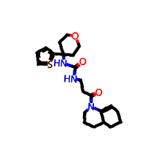 O=C(NCCC(=O)N1CCCC2CCCC=C21)NC1(c2cccs2)CCOCC1